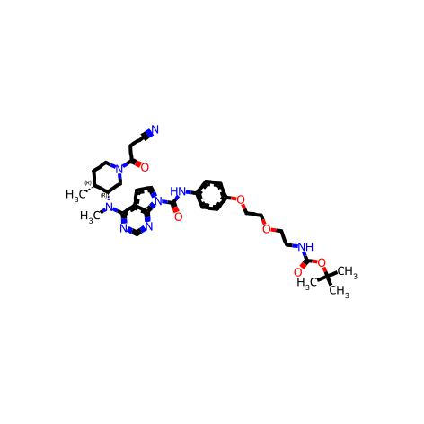 C[C@@H]1CCN(C(=O)CC#N)C[C@@H]1N(C)c1ncnc2c1ccn2C(=O)Nc1ccc(OCCOCCNC(=O)OC(C)(C)C)cc1